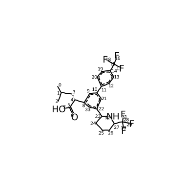 CC(C)C[C@@H](C(=O)O)c1cc(-c2ccc(C(F)(F)F)cc2)cc(C2CCCC(C(F)(F)F)N2)c1